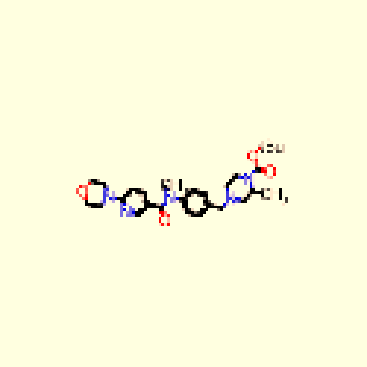 C[C@H]1CN(Cc2ccc(N(C)C(=O)c3ccc(N4CCOCC4)nc3)cc2)CCN1C(=O)OC(C)(C)C